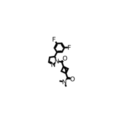 CN(C)C(=O)C12CC(C(=O)N3N=CCC3c3cc(F)cc(F)c3)(C1)C2